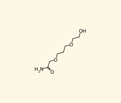 NC(=O)COCCCOCCO